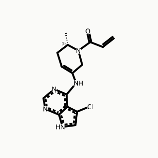 C=CC(=O)N1CC(Nc2ncnc3[nH]cc(Cl)c23)=CC[C@@H]1C